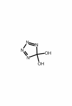 OC1(O)N=NN=N1